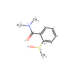 CN(C)C(=O)c1ccccc1[S+](C)[O-]